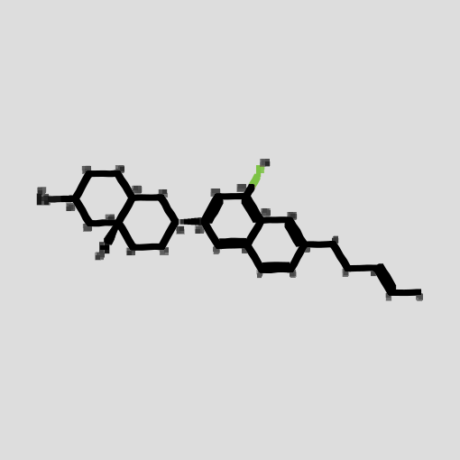 C/C=C/CCc1ccc2cc([C@@H]3CC[C@@H]4CC(CC)CCC4C3)cc(F)c2c1